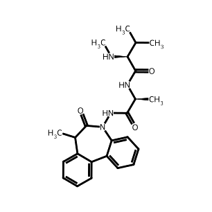 CN[C@H](C(=O)N[C@@H](C)C(=O)NN1C(=O)C(C)c2ccccc2-c2ccccc21)C(C)C